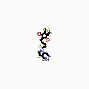 O=C1C(=Cc2ccc(-n3ccc4cnccc43)s2)C(=O)c2cscc21